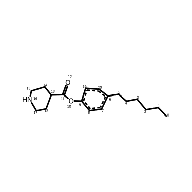 CCCCCCc1ccc(OC(=O)C2CCNCC2)cc1